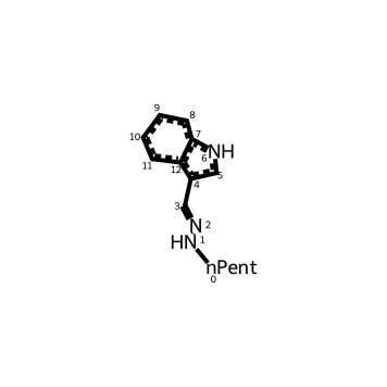 CCCCCNN=Cc1c[nH]c2ccccc12